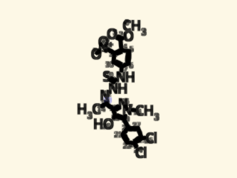 COC(=O)c1ccc(NC(=S)N/N=C(/C)c2nn(C)c(-c3ccc(Cl)c(Cl)c3)c2O)cc1[N+](=O)[O-]